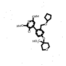 COc1cc(-c2ccc(OC3(C(=O)O)CCOCC3)cc2COC2CCCC2)c(Cl)c(OC)n1